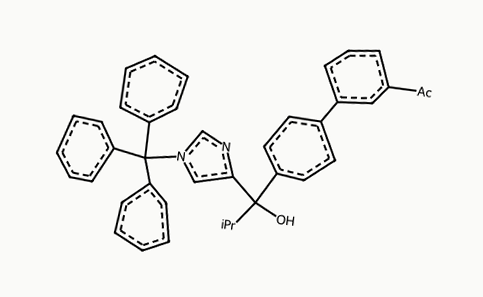 CC(=O)c1cccc(-c2ccc(C(O)(c3cn(C(c4ccccc4)(c4ccccc4)c4ccccc4)cn3)C(C)C)cc2)c1